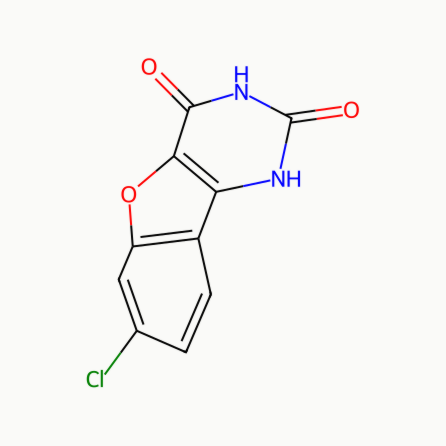 O=c1[nH]c(=O)c2oc3cc(Cl)ccc3c2[nH]1